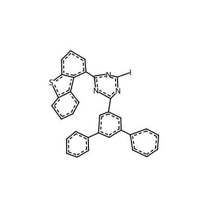 Ic1nc(-c2cc(-c3ccccc3)cc(-c3ccccc3)c2)nc(-c2cccc3sc4ccccc4c23)n1